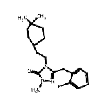 Cn1nc(Cc2ccccc2F)n(CCC2CCC(C)(C)CC2)c1=O